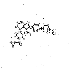 CCN1CCN(C2C=CC(c3cc4n(c3)N=CCC4N3CCN(C(=O)C4CC4)C[C@@H]3C)=CC2)CC1